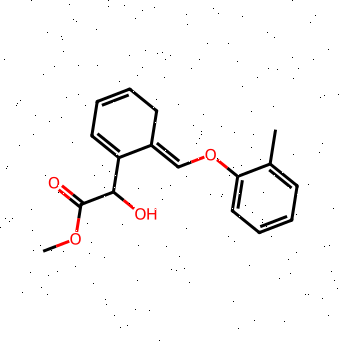 COC(=O)C(O)C1=CC=CCC1=COc1ccccc1C